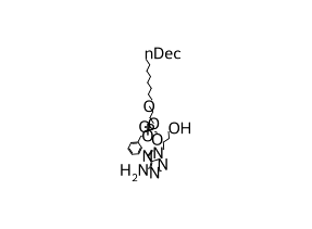 CCCCCCCCCCCCCCCCCCOCCOP(=O)(COC(CCO)Cn1cnc2c(N)ncnc21)OCc1ccccc1